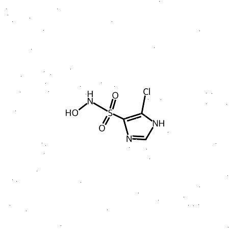 O=S(=O)(NO)c1nc[nH]c1Cl